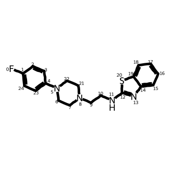 Fc1ccc(N2CCN(CCNc3nc4ccccc4s3)CC2)cc1